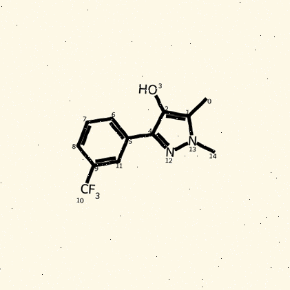 Cc1c(O)c(-c2cccc(C(F)(F)F)c2)nn1C